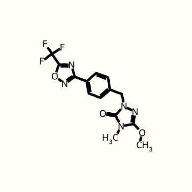 COc1nn(Cc2ccc(-c3noc(C(F)(F)F)n3)cc2)c(=O)n1C